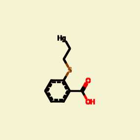 O=C(O)c1ccccc1SC[CH2][Hg]